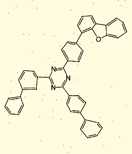 c1ccc(-c2ccc(-c3nc(-c4ccc(-c5cccc6c5oc5ccccc56)cc4)nc(-c4cccc(-c5ccccc5)c4)n3)cc2)cc1